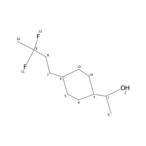 CC(O)C1CCC(CCC(C)(F)F)CC1